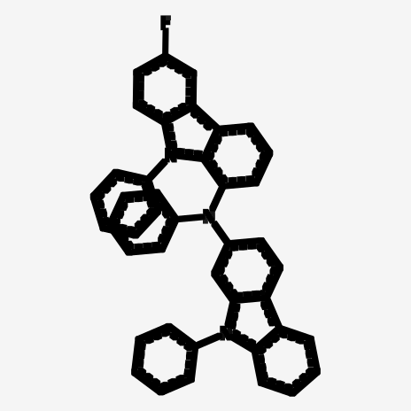 Fc1ccc2c(c1)c1cccc(N(c3ccccc3)c3ccc4c5ccccc5n(-c5ccccc5)c4c3)c1n2-c1ccccc1